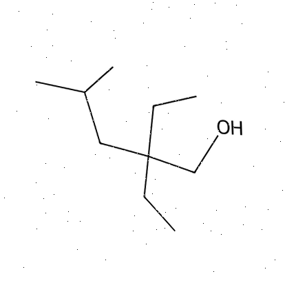 CCC(CC)(CO)CC(C)C